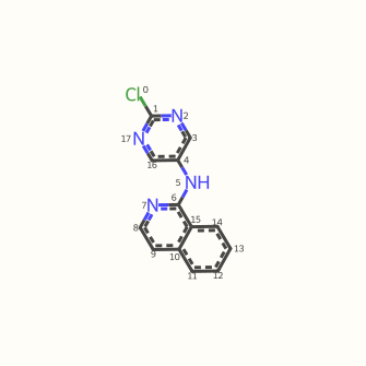 Clc1ncc(Nc2nccc3ccccc23)cn1